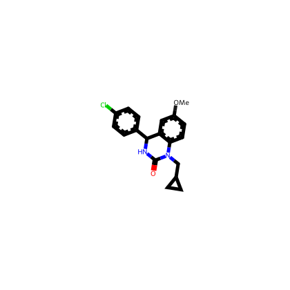 COc1ccc2c(c1)C(c1ccc(Cl)cc1)NC(=O)N2CC1CC1